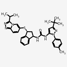 Cc1ccc(-n2nc(C(C)(C)C)cc2NC(=O)NC2C[C@H](Sc3ccc4nnc(C(C)C)n4c3)c3ccccc32)cc1